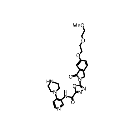 COCCOCCOc1ccc2c(c1)C(=O)N(c1nnc(C(=O)Nc3cnccc3N3CCNCC3)o1)C2